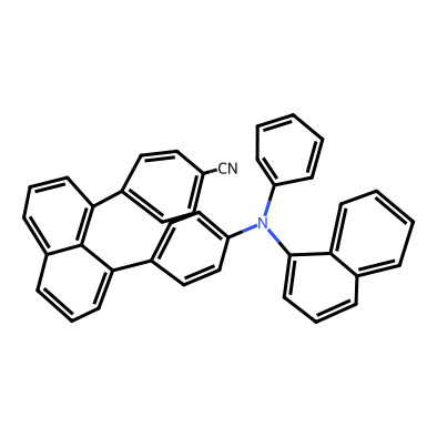 N#Cc1ccc(-c2cccc3cccc(-c4ccc(N(c5ccccc5)c5cccc6ccccc56)cc4)c23)cc1